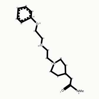 CNC(=O)CC1CCN(CCOCCOc2ccccc2)CC1